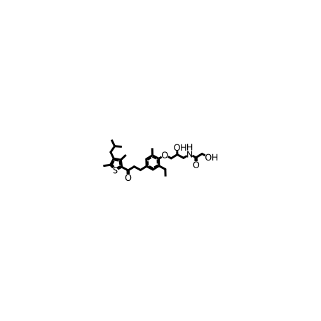 CCc1cc(CCC(=O)c2sc(C)c(CC(C)C)c2C)cc(C)c1OCC(O)CNC(=O)CO